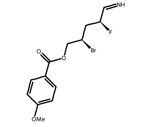 COc1ccc(C(=O)OC[C@H](Br)C[C@H](F)C=N)cc1